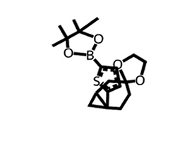 CC1(C)OB(c2ccc(C34CCC5(CC3C4)OCCO5)s2)OC1(C)C